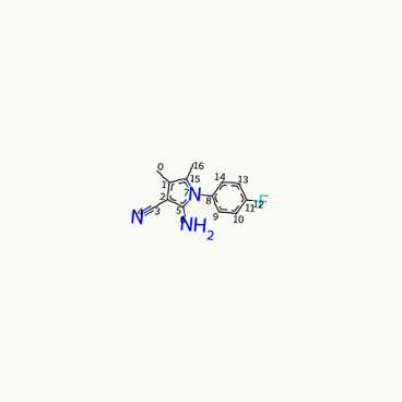 Cc1c(C#N)c(N)n(-c2ccc(F)cc2)c1C